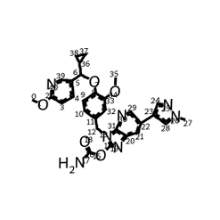 COc1ccc(C(Oc2ccc(Cn3c(OC(N)=O)nc4cc(-c5cnn(C)c5)cnc43)cc2OC)C2CC2)cn1